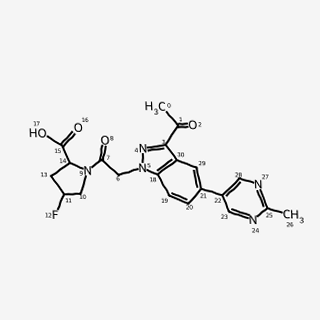 CC(=O)c1nn(CC(=O)N2CC(F)CC2C(=O)O)c2ccc(-c3cnc(C)nc3)cc12